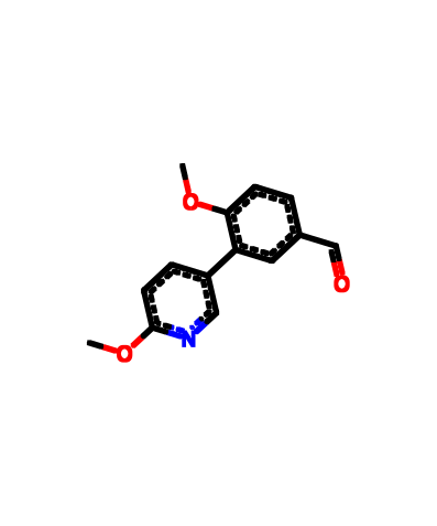 COc1ccc(-c2cc(C=O)ccc2OC)cn1